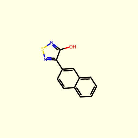 Oc1nsnc1-c1ccc2ccccc2c1